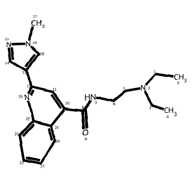 CCN(CC)CCNC(=O)c1cc(-c2cnn(C)c2)nc2ccccc12